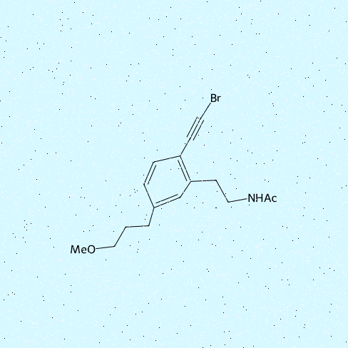 COCCCc1ccc(C#CBr)c(CCNC(C)=O)c1